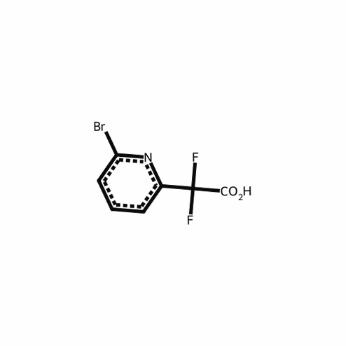 O=C(O)C(F)(F)c1cccc(Br)n1